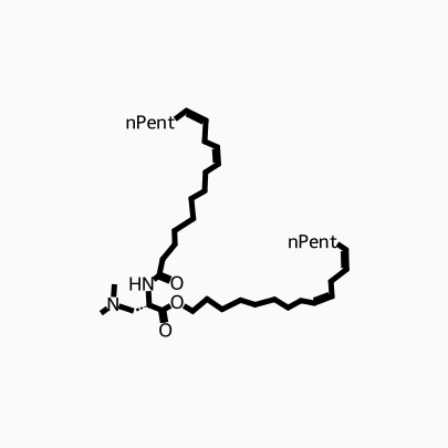 CCCCC/C=C\C/C=C\CCCCCCCCOC(=O)[C@H](CN(C)C)NC(=O)CCCCCCC/C=C\C/C=C\CCCCC